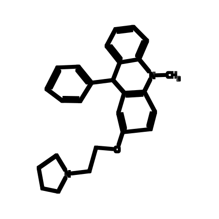 CN1c2ccccc2C(c2ccccc2)c2cc(OCCN3CCCC3)ccc21